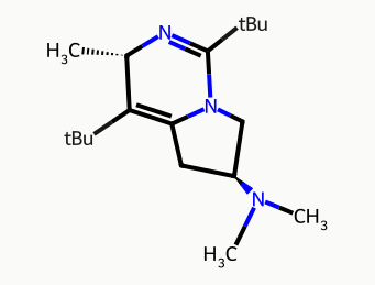 C[C@@H]1N=C(C(C)(C)C)N2C[C@@H](N(C)C)CC2=C1C(C)(C)C